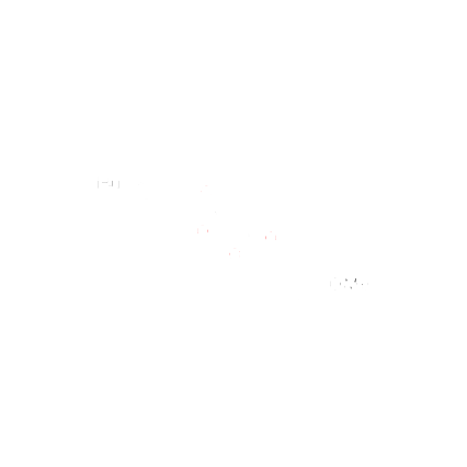 CCC(C)c1ccc(OC(=O)CC(=O)OC(C)c2ccc(OC)cc2)cc1